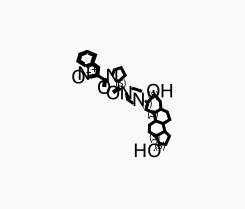 C[C@]12C[C@H](N3CCN(C(=O)[C@@H]4CCCN4C(=O)c4cc5ccccc5[n+]([O-])c4)CC3)[C@@H](O)CC1CCC1C2CC[C@@]2(C)C1CC[C@@H]2O